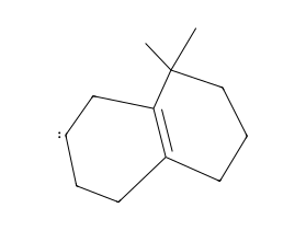 CC1(C)CCCC2=C1C[C]CC2